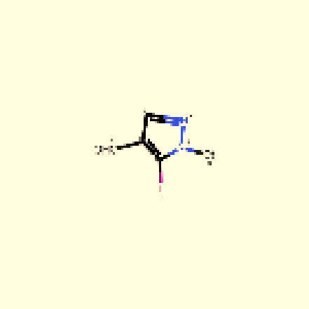 CCn1ncc(C=O)c1I